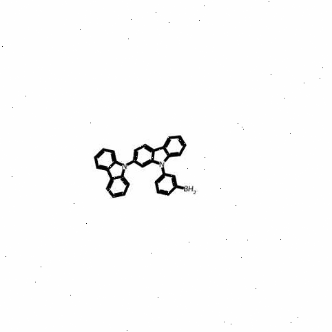 Bc1cccc(-n2c3ccccc3c3ccc(-n4c5ccccc5c5ccccc54)cc32)c1